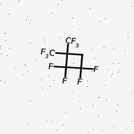 FC(F)(F)C1(C(F)(F)F)CC(F)(F)C1(F)F